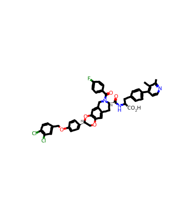 Cc1nccc(-c2ccc(CC(NC(=O)[C@@H]3Cc4cc5c(cc4CN3C(=O)c3ccc(F)cc3)O[C@@H](c3ccc(OCc4ccc(Cl)c(Cl)c4)cc3)CO5)C(=O)O)cc2)c1C